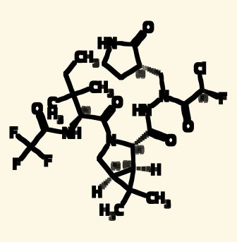 CCC(C)(C)[C@H](NC(=O)C(F)(F)F)C(=O)N1C[C@H]2[C@@H]([C@H]1C(=O)NN(C[C@@H]1CCNC1=O)C(=O)[C@H](F)Cl)C2(C)C